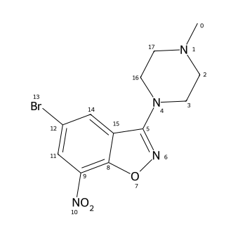 CN1CCN(c2noc3c([N+](=O)[O-])cc(Br)cc23)CC1